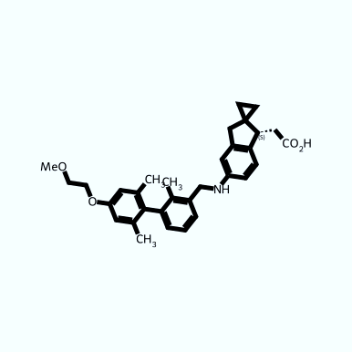 COCCOc1cc(C)c(-c2cccc(CNc3ccc4c(c3)CC3(CC3)[C@@H]4CC(=O)O)c2C)c(C)c1